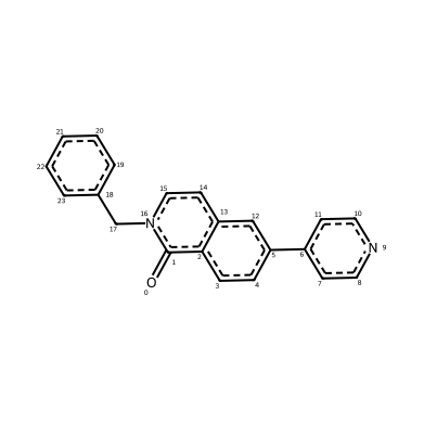 O=c1c2ccc(-c3ccncc3)cc2ccn1Cc1ccccc1